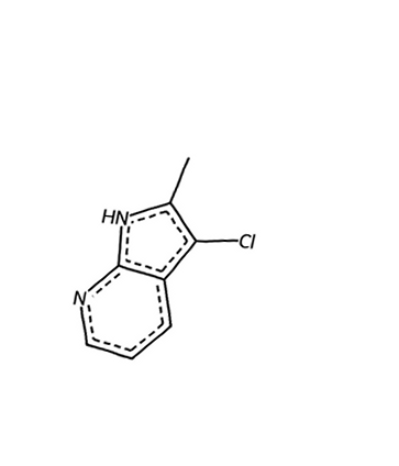 Cc1[nH]c2ncccc2c1Cl